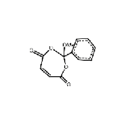 COC1(c2ccccc2)OC(=O)C=CC(=O)O1